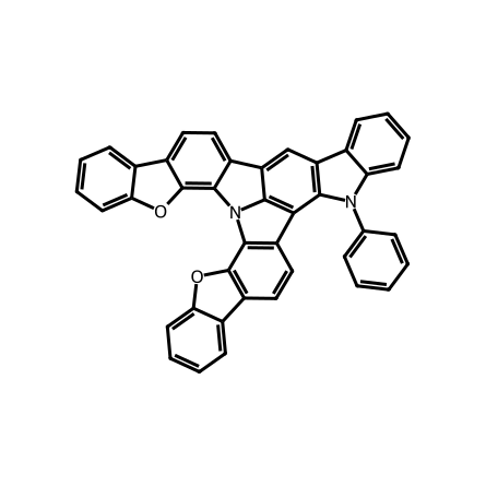 c1ccc(-n2c3ccccc3c3cc4c5ccc6c7ccccc7oc6c5n5c6c(ccc7c8ccccc8oc76)c(c32)c45)cc1